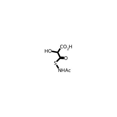 CC(=O)NSC(=O)C(O)C(=O)O